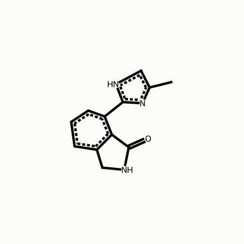 Cc1c[nH]c(-c2cccc3c2C(=O)NC3)n1